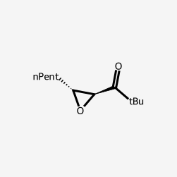 CCCCC[C@H]1O[C@@H]1C(=O)C(C)(C)C